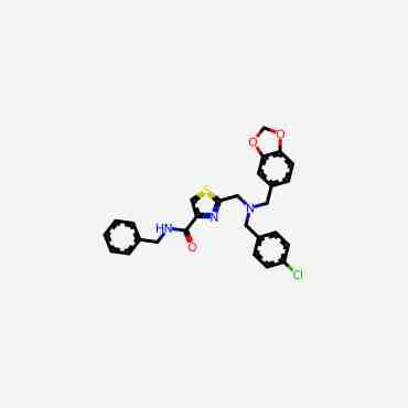 O=C(NCc1ccccc1)c1csc(CN(Cc2ccc(Cl)cc2)Cc2ccc3c(c2)OCO3)n1